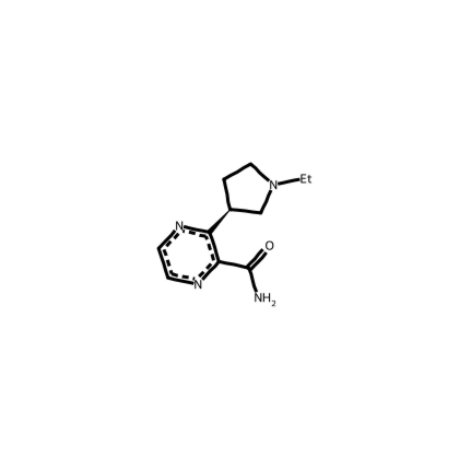 CCN1CC[C@H](c2nccnc2C(N)=O)C1